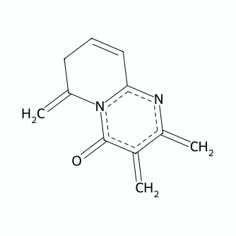 C=C1CC=Cc2nc(=C)c(=C)c(=O)n21